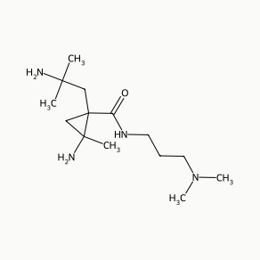 CN(C)CCCNC(=O)C1(CC(C)(C)N)CC1(C)N